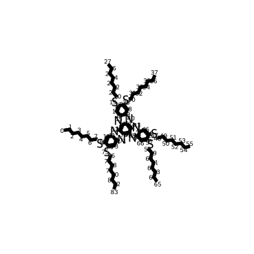 CCCCCCCCSc1cc2nc3c4nc5cc(SCCCCCCCC)c(SCCCCCCCC)cc5nc4c4nc5cc(SCCCCCCCC)c(SCCCCCCCC)cc5nc4c3nc2cc1SCCCCCCCC